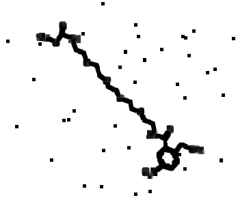 CC(=O)OCc1ccc([N+](=O)[O-])cc1C(=O)NCCOCCOCCOCCOCCNC(=O)OC(C)(C)C